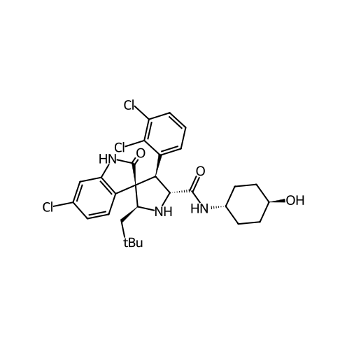 CC(C)(C)C[C@@H]1N[C@@H](C(=O)N[C@H]2CC[C@H](O)CC2)[C@H](c2cccc(Cl)c2Cl)[C@]12C(=O)Nc1cc(Cl)ccc12